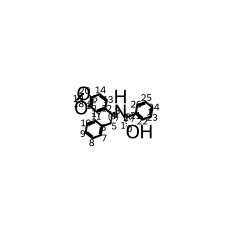 OC[C@H](N[C@@H](Cc1ccccc1)c1ccc2c(c1)OCO2)c1ccccc1